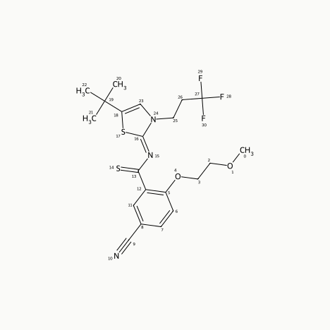 COCCOc1ccc(C#N)cc1C(=S)N=c1sc(C(C)(C)C)cn1CCC(F)(F)F